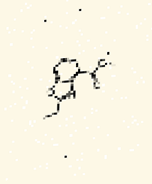 CCc1nc2c(C(=O)OC)cccc2o1